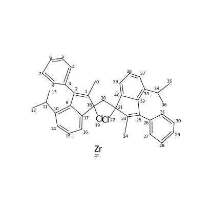 CC1=C(c2ccccc2)c2c(C(C)C)cccc2C1(Cl)CC1(Cl)C(C)=C(c2ccccc2)c2c(C(C)C)cccc21.[Zr]